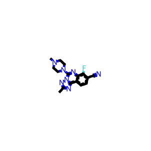 Cc1nc2c3ccc(C#N)c(F)c3nc(N3CCN(C)CC3)n2n1